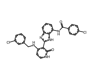 O=C(Nc1cccc2nc(-c3c(NCc4cccc(Cl)c4)cc[nH]c3=O)[nH]c12)c1ccc(Cl)cc1